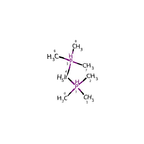 C[PH](C)(C)[IrH5][PH](C)(C)C